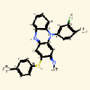 CCN=c1cc2n(-c3ccc(C(F)(F)F)c(Cl)c3)c3ccccc3nc-2cc1Sc1ccc(C(F)(F)F)cc1